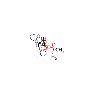 C=C(C)C(=O)OC[C@]12O[C@@H]3COC4(CCCCC4)O[C@H]3[C@@H]1OC1(CCCCC1)O2